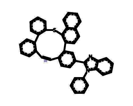 C1=C\c2ccc(-c3nc4ccccc4n3-c3ccccc3)cc2-c2ccc3ccccc3c2Sc2ccccc2-c2ccccc2/1